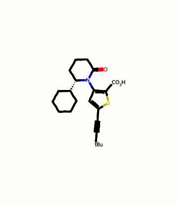 CC(C)(C)C#Cc1cc(N2C(=O)CCC[C@H]2C2CCCCC2)c(C(=O)O)s1